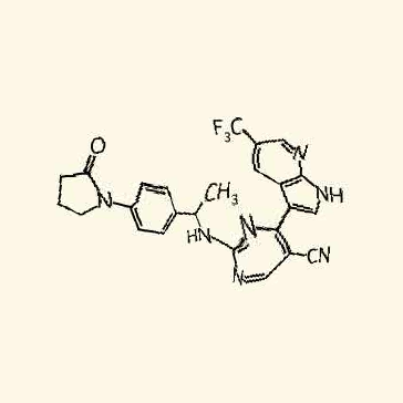 CC(Nc1ncc(C#N)c(-c2c[nH]c3ncc(C(F)(F)F)cc23)n1)c1ccc(N2CCCC2=O)cc1